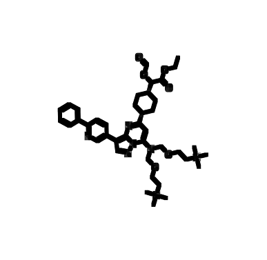 CCOC(=O)C(OC=O)[C@H]1CC[C@@H](c2cc(N(COCC[Si](C)(C)C)COCC[Si](C)(C)C)n3ncc(-c4ccc(-c5ccccc5)nc4)c3n2)CC1